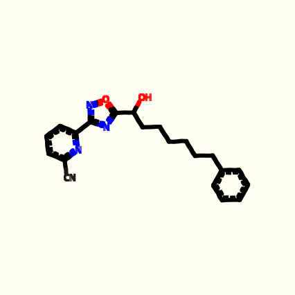 N#Cc1cccc(-c2noc(C(O)CCCCCCc3ccccc3)n2)n1